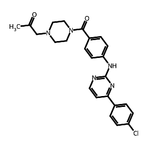 CC(=O)CN1CCN(C(=O)c2ccc(Nc3nccc(-c4ccc(Cl)cc4)n3)cc2)CC1